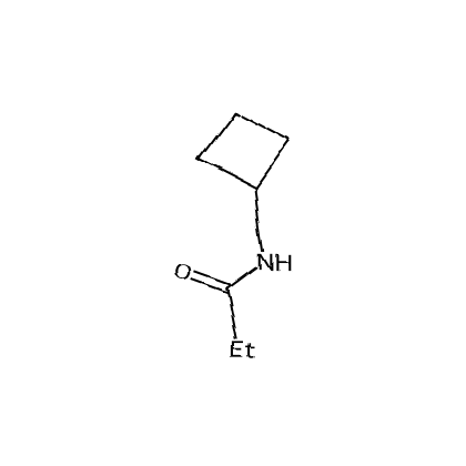 CCC(=O)NC1CCC1